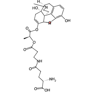 C[C@H](OC(=O)CCNC(=O)CC[C@H](N)C(=O)O)C(=O)OC1=CC[C@@]2(O)[C@H]3Cc4ccc(O)c5c4[C@@]2(CCN3C)[C@H]1O5